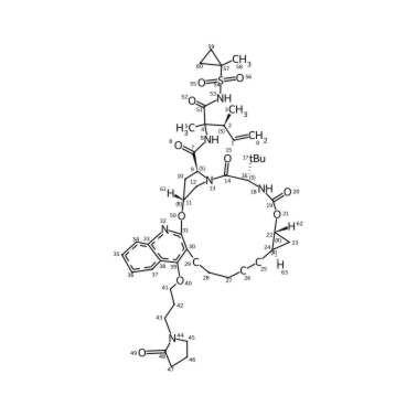 C=C[C@H](C)C(C)(NC(=O)[C@@H]1C[C@@H]2CN1C(=O)[C@H](C(C)(C)C)NC(=O)O[C@@H]1C[C@H]1CCCCCc1c(nc3ccccc3c1OCCCN1CCCC1=O)O2)C(=O)NS(=O)(=O)C1(C)CC1